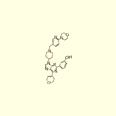 Oc1cccc(-c2nc(C3=CCOCC3)c3ncn(C4CCN(Cc5ccc(N6CCOCC6)nc5)CC4)c3n2)c1